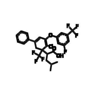 CC(C)CC(C(=O)O)C1(C(F)(F)F)CC(c2ccccc2)=CC(Oc2cc(F)cc(C(F)(F)F)c2)=C1Cl